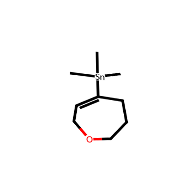 [CH3][Sn]([CH3])([CH3])[C]1=CCOCCC1